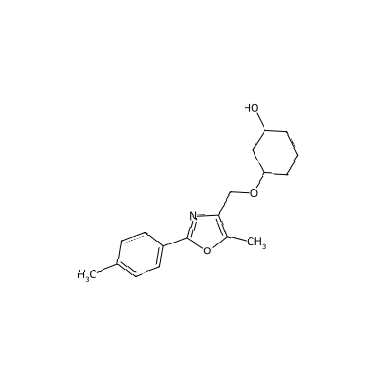 Cc1ccc(-c2nc(COC3CCCC(O)C3)c(C)o2)cc1